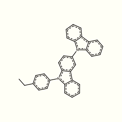 CCc1ccc(-n2c3ccccc3c3cc(-n4c5ccccc5c5ccccc54)ccc32)cc1